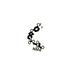 CNC(=O)c1coc(COC(=O)N2CCC3(CC(Oc4cccc(C(F)(F)F)c4)C3)C2)n1